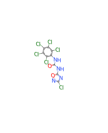 O=C(Nc1nc(Cl)no1)Nc1c(Cl)c(Cl)c(Cl)c(Cl)c1Cl